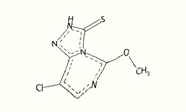 COc1ncc(Cl)c2n[nH]c(=S)n12